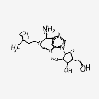 CC(C)CCN1C=Nc2c(ncn2[C@@H]2O[C@H](CO)C(O)C2O)C1N